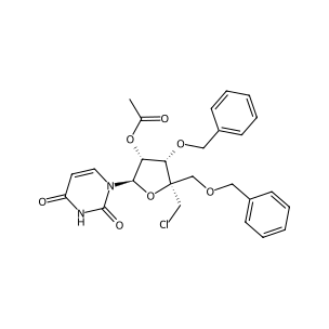 CC(=O)O[C@H]1[C@H](n2ccc(=O)[nH]c2=O)O[C@](CCl)(COCc2ccccc2)[C@H]1OCc1ccccc1